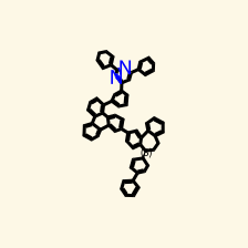 C1=CC(c2nc(-c3ccccc3)cc(-c3cccc(-c4cccc5c6ccccc6c6cc(-c7ccc8c(c7)-c7ccccc7CC[C@H]8C7C=CC(c8ccccc8)=CC7)ccc6c45)c3)n2)=CCC1